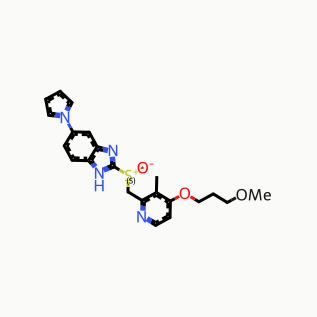 COCCCOc1ccnc(C[S@@+]([O-])c2nc3cc(-n4cccc4)ccc3[nH]2)c1C